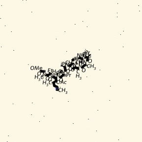 C/C=C/C[C@H](C)[C@H](OC(C)=O)[C@H](C(=O)N[C@H](CC)C(=O)N(C)CC(=O)OC)N(C)C(=O)[C@@H](C(C)C)N(C)C(=O)[C@@H](CC(C)C)N(C)C(=O)[C@H](CC(C)C)N(C)C(=O)[C@H](C)NC(=O)[C@@H](C)NC(=O)[C@H](CC(C)C)N(C)C(=O)[C@H](N)C(C)C